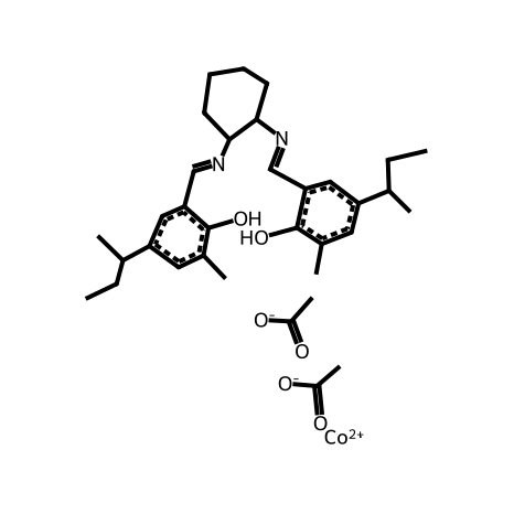 CC(=O)[O-].CC(=O)[O-].CCC(C)c1cc(C)c(O)c(C=NC2CCCCC2N=Cc2cc(C(C)CC)cc(C)c2O)c1.[Co+2]